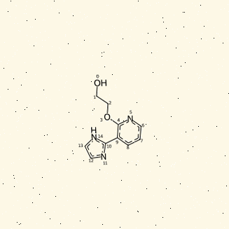 OCCOc1ncccc1-c1ncc[nH]1